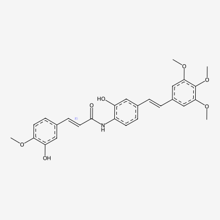 COc1ccc(/C=C/C(=O)Nc2ccc(C=Cc3cc(OC)c(OC)c(OC)c3)cc2O)cc1O